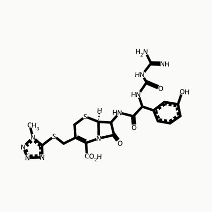 Cn1nnnc1SCC1=C(C(=O)O)N2C(=O)C(NC(=O)C(NC(=O)NC(=N)N)c3cccc(O)c3)[C@@H]2SC1